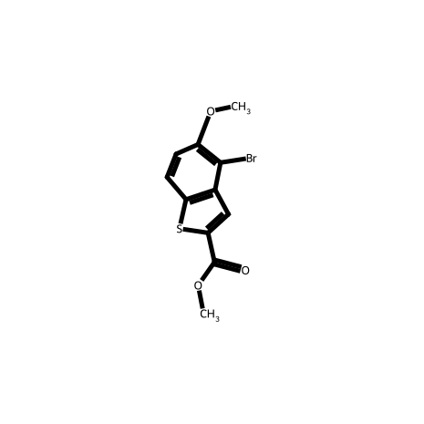 COC(=O)c1cc2c(Br)c(OC)ccc2s1